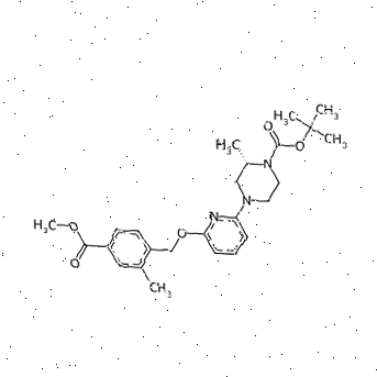 COC(=O)c1ccc(COc2cccc(N3CCN(C(=O)OC(C)(C)C)[C@@H](C)C3)n2)c(C)c1